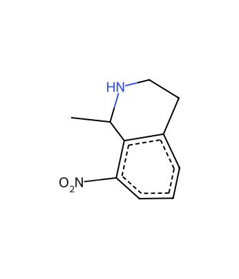 CC1NCCc2cccc([N+](=O)[O-])c21